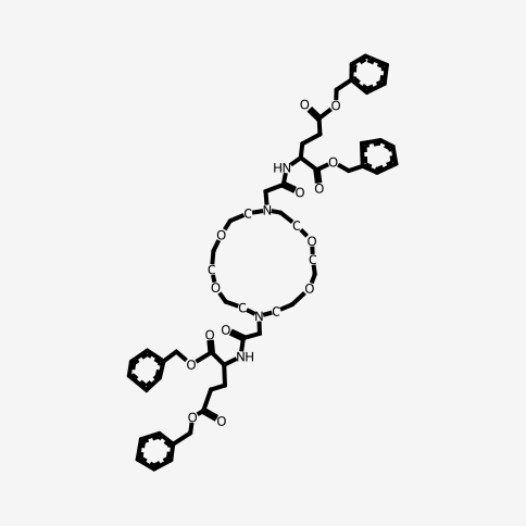 O=C(CN1CCOCCOCCN(CC(=O)NC(CCC(=O)OCc2ccccc2)C(=O)OCc2ccccc2)CCOCCOCC1)NC(CCC(=O)OCc1ccccc1)C(=O)OCc1ccccc1